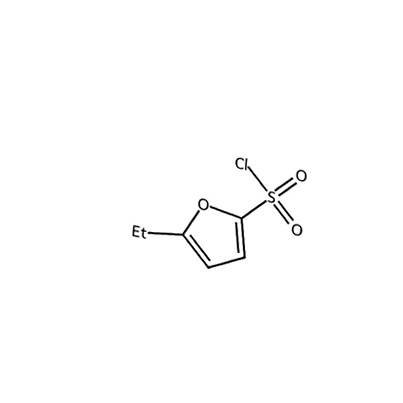 CCc1ccc(S(=O)(=O)Cl)o1